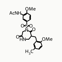 COc1ccc(C)cc1CC1CNC(=O)CN(S(=O)(=O)c2ccc(OC)c(NC(C)=O)c2)C1=O